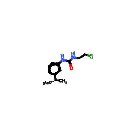 CO[C@@H](C)c1cccc(NC(=O)NCCCl)c1